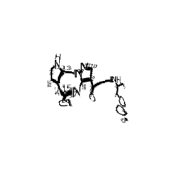 COOCC(C)NC(=O)c1cnn2c3c(c(Cl)nc12)CCN3